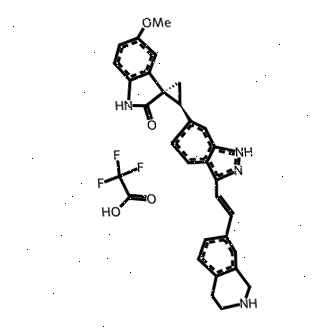 COc1ccc2c(c1)[C@]1(C[C@H]1c1ccc3c(C=Cc4ccc5c(c4)CNCC5)n[nH]c3c1)C(=O)N2.O=C(O)C(F)(F)F